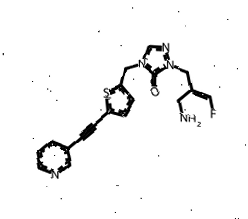 NC/C(=C\F)Cn1ncn(Cc2ccc(C#Cc3cccnc3)s2)c1=O